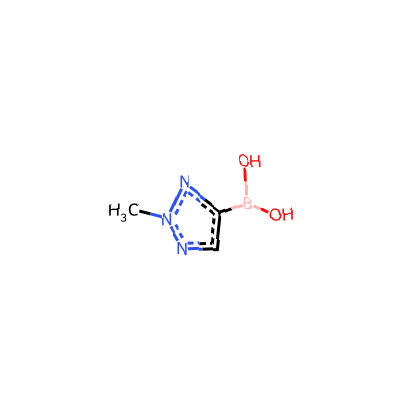 Cn1ncc(B(O)O)n1